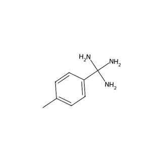 Cc1ccc(C(N)(N)N)cc1